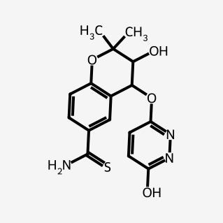 CC1(C)Oc2ccc(C(N)=S)cc2C(Oc2ccc(O)nn2)C1O